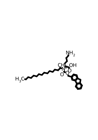 CCCCCCCCCCCCCCC(C)N(C(=O)OCc1ccc2c(c1)-c1ccccc1C2)[C@@H](CCCCN)C(=O)O